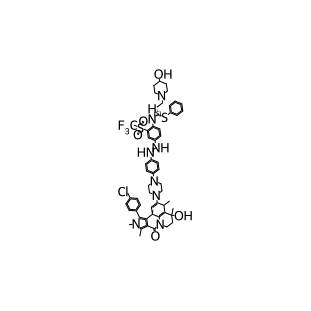 Cc1c2c(c(-c3ccc(Cl)cc3)n1C)C1(C)C=C(N3CCN(c4ccc(NNc5ccc(N[C@H](CCN6CCC(O)CC6)Sc6ccccc6)c(S(=O)(=O)C(F)(F)F)c5)cc4)CC3)C(C)C3=C1N(CCC3(C)O)C2=O